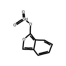 O=[SH](=O)Oc1occ2ccccc12